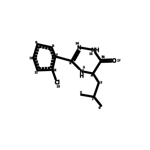 CC(C)CC1NC(c2ccccc2Cl)=NNC1=O